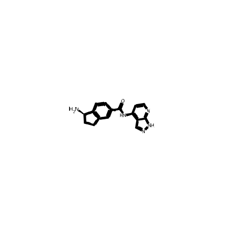 N[C@@H]1CCc2cc(C(=O)Nc3ccnc4[nH]ncc34)ccc21